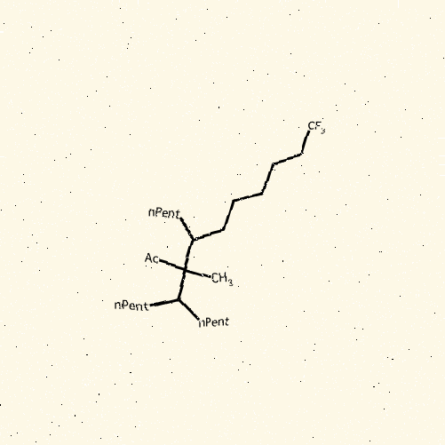 CCCCCC(CCCCC)C(C)(C(C)=O)C(CCCCC)CCCCCC(F)(F)F